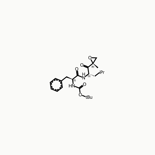 CC(C)C[C@H](NC(=O)[C@H](Cc1ccccc1)NC(=O)OC(C)(C)C)C(=O)[C@@]1(C)CO1